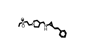 CCS(=O)(=O)CCN1CCC(CNC2CC2/C=C/c2ccccc2)CC1